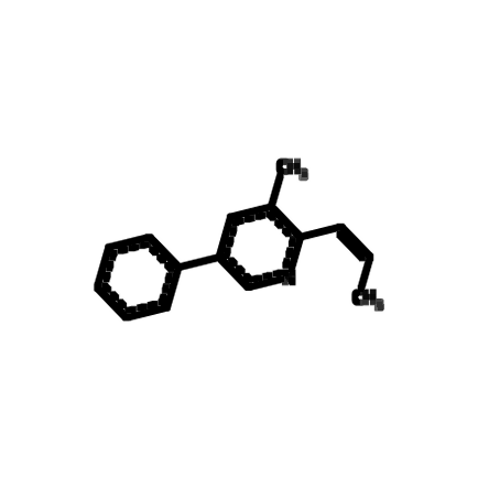 C/C=C\c1ncc(-c2ccccc2)cc1C